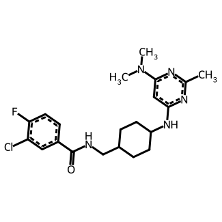 Cc1nc(NC2CCC(CNC(=O)c3ccc(F)c(Cl)c3)CC2)cc(N(C)C)n1